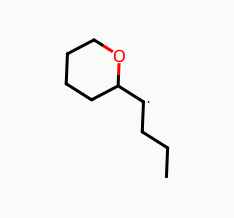 CCC[CH]C1CCCCO1